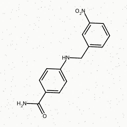 NC(=O)c1ccc(NCc2cccc([N+](=O)[O-])c2)cc1